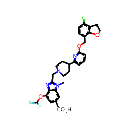 Cn1c(CN2CCC(c3cccc(OCc4ccc(Cl)c5c4OCC5)n3)CC2)nc2c(OC(F)F)cc(C(=O)O)cc21